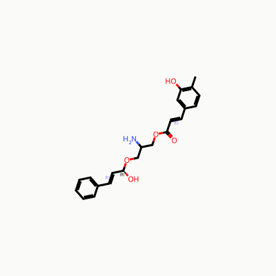 Cc1ccc(/C=C/C(=O)OCC(N)CO[C@@H](O)/C=C/c2ccccc2)cc1O